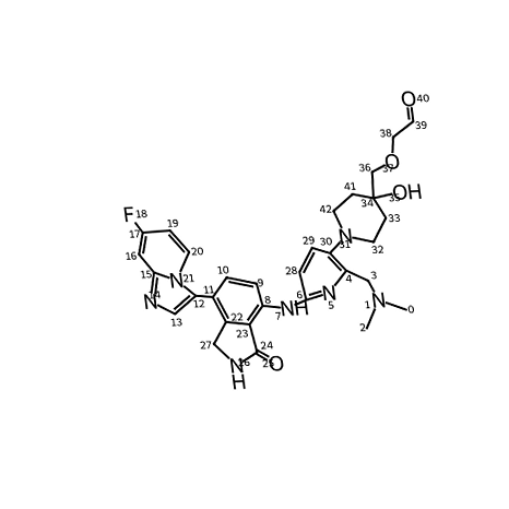 CN(C)Cc1nc(Nc2ccc(-c3cnc4cc(F)ccn34)c3c2C(=O)NC3)ccc1N1CCC(O)(COCC=O)CC1